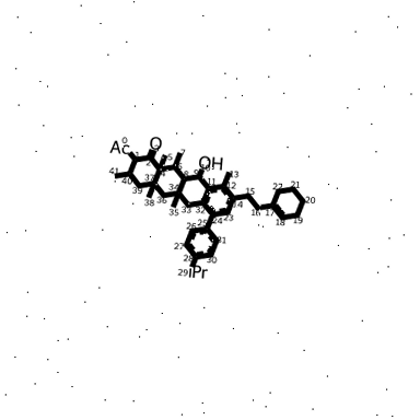 CC(=O)C1C(=O)C2(C)C(C)C3C(O)c4c(C)c(CCC5=CCCCC5)cc(-c5ccc(C(C)C)cc5)c4CC3(C)CC2(C)CC1C